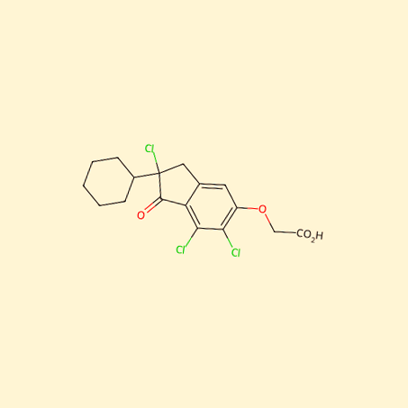 O=C(O)COc1cc2c(c(Cl)c1Cl)C(=O)C(Cl)(C1CCCCC1)C2